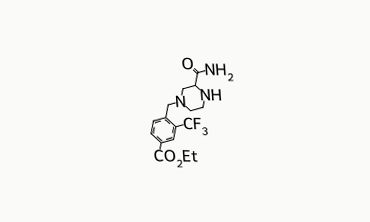 CCOC(=O)c1ccc(CN2CCNC(C(N)=O)C2)c(C(F)(F)F)c1